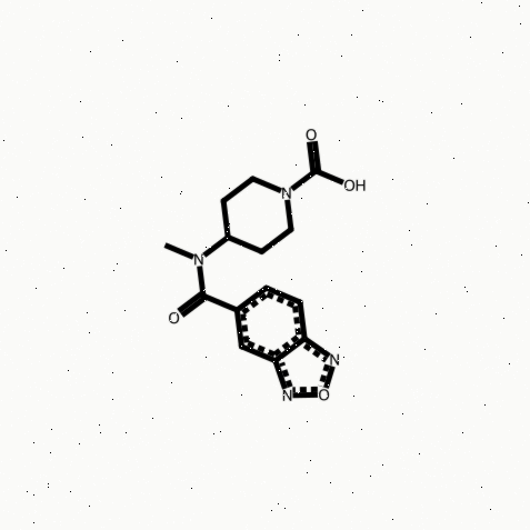 CN(C(=O)c1ccc2nonc2c1)C1CCN(C(=O)O)CC1